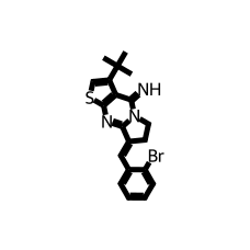 CC(C)(C)c1csc2nc3n(c(=N)c12)CC/C3=C\c1ccccc1Br